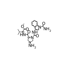 COC(=O)[C@H](NC(=O)[C@@H]1C[C@H](N)CN1C(=O)Nc1cn(C(N)=O)c2ccccc12)C(C)C